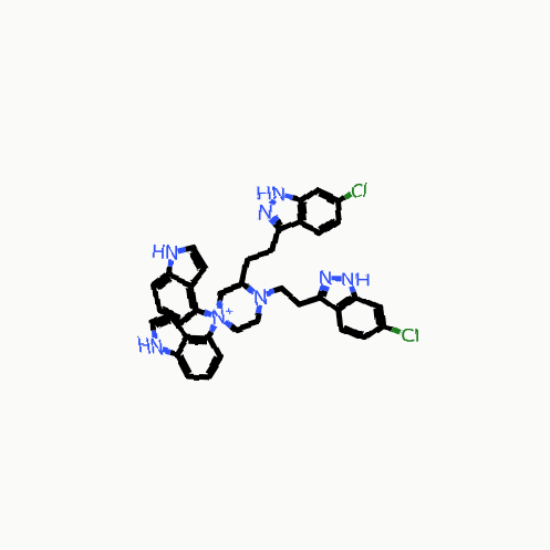 Clc1ccc2c(CCC3C[N+](c4cccc5[nH]ccc45)(c4cccc5[nH]ccc45)CCN3CCc3n[nH]c4cc(Cl)ccc34)n[nH]c2c1